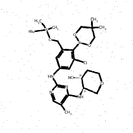 Cc1cnc(Nc2cc(Cl)c(B3OCC(C)(C)CO3)c(CO[Si](C)(C)C(C)(C)C)c2)nc1N[C@@H]1COCC[C@H]1C#N